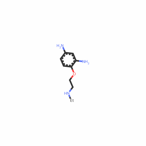 CCNCCOc1ccc(N)cc1N